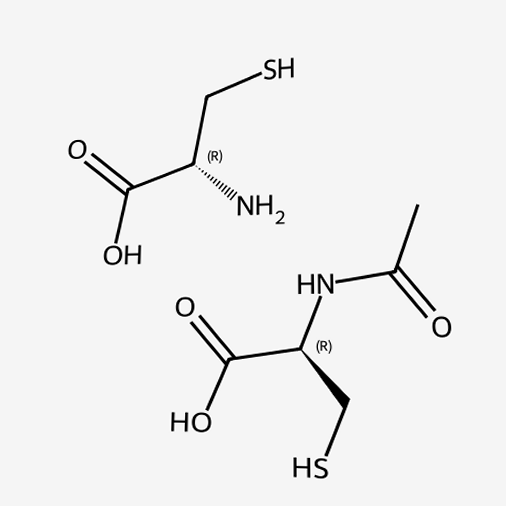 CC(=O)N[C@@H](CS)C(=O)O.N[C@@H](CS)C(=O)O